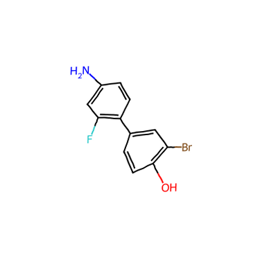 Nc1ccc(-c2ccc(O)c(Br)c2)c(F)c1